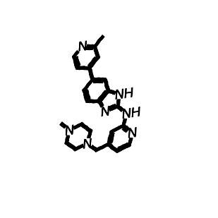 Cc1cc(-c2ccc3nc(Nc4cc(CN5CCN(C)CC5)ccn4)[nH]c3c2)ccn1